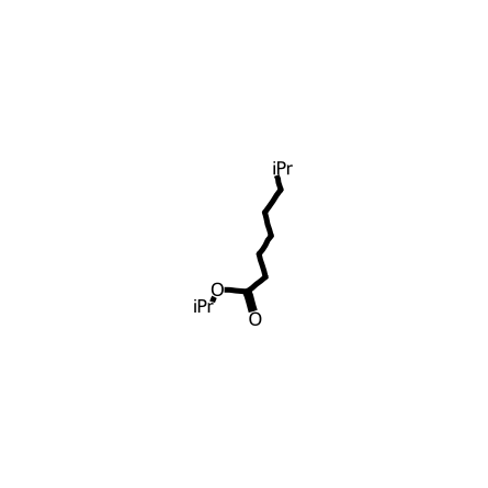 CC(C)CCCCCC(=O)OC(C)C